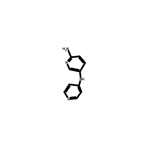 Nc1ccc(Nc2ccncc2)cn1